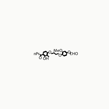 CCCC(=O)c1ccc(OCCCCOc2ccc(OC=O)cc2OC)c(C)c1O